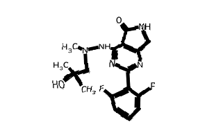 CN(CC(C)(C)O)Nc1nc(-c2c(F)cccc2F)nc2c1C(=O)NC2